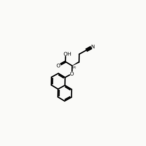 N#CCC[C@@H](Oc1cccc2ccccc12)C(=O)O